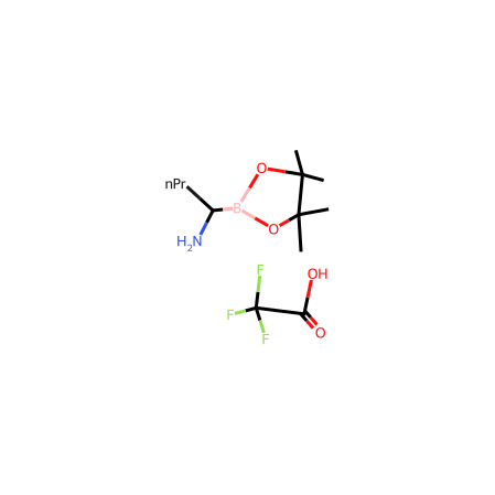 CCCC(N)B1OC(C)(C)C(C)(C)O1.O=C(O)C(F)(F)F